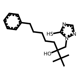 CC(C)(C)C(O)(CCCCCc1ccccc1)Cn1ncnc1S